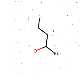 CCC([O])CCI